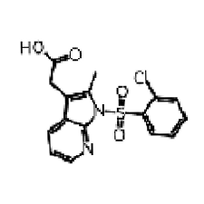 Cc1c(CC(=O)O)c2cccnc2n1S(=O)(=O)c1ccccc1Cl